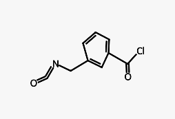 O=C=NCc1cccc(C(=O)Cl)c1